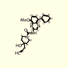 C#CCC1(O)CCN(C(=O)Nc2cnc3c(-c4ccccc4)ccc(OC)c3n2)CC1